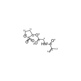 C=C(C)C(=O)NCC(=O)OC1CCOS1(=O)=O